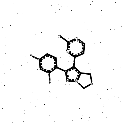 Fc1ccc(-c2nn3c(c2-c2ccnc(Cl)n2)CSC3)c(F)c1